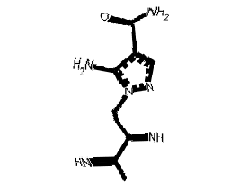 CC(=N)C(=N)Cn1ncc(C(N)=O)c1N